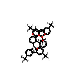 N#Cc1cccc(C2c3ccc(C(F)(F)F)cc3-c3cc(C(F)(F)F)ccc32)c1-c1c(-c2c(C(F)(F)F)cccc2C(F)(F)F)cccc1-n1c2ccc(C(F)(F)F)cc2c2cc(C(F)(F)F)ccc21